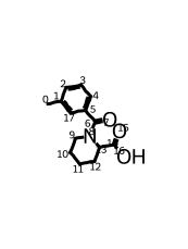 Cc1cccc(C(=O)N2CCCCC2C(=O)O)c1